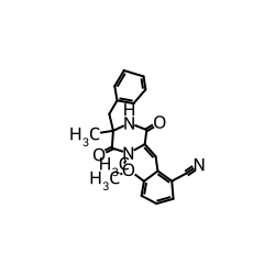 COc1cccc(C#N)c1C=C1C(=O)NC(C)(Cc2ccccc2)C(=O)N1C